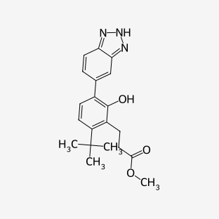 COC(=O)CCc1c(C(C)(C)C)ccc(-c2ccc3n[nH]nc3c2)c1O